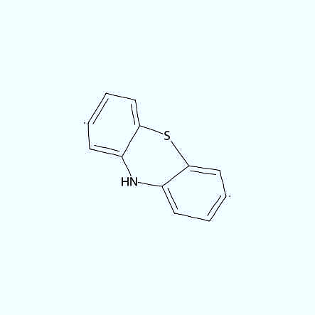 [c]1ccc2c(c1)Nc1cc[c]cc1S2